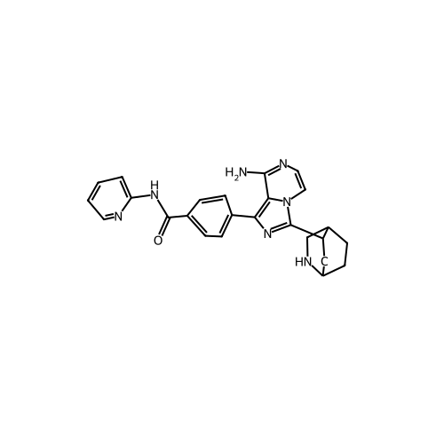 Nc1nccn2c(C3CC4CCC3CN4)nc(-c3ccc(C(=O)Nc4ccccn4)cc3)c12